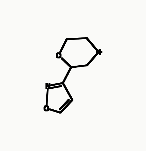 c1cc(C2C[N]CCO2)no1